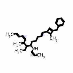 C=C(/C=C\C=CC)C(CC)C(CCC/C=C/C1C=C(Cc2ccccc2)C1C)N/C=C\C